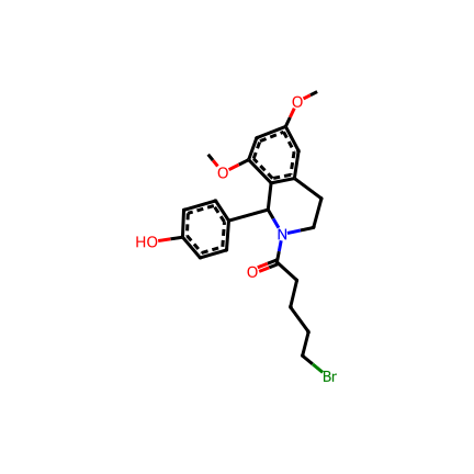 COc1cc2c(c(OC)c1)C(c1ccc(O)cc1)N(C(=O)CCCCBr)CC2